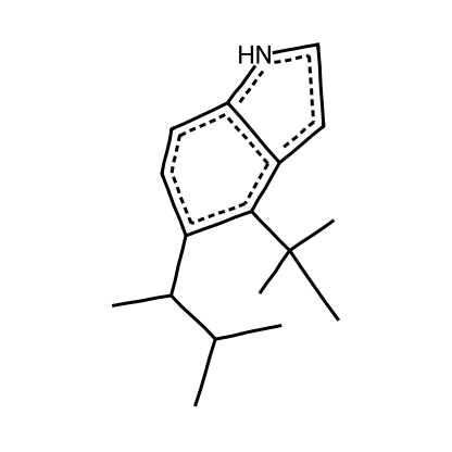 CC(C)C(C)c1ccc2[nH]ccc2c1C(C)(C)C